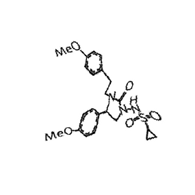 COc1ccc(CCN2C(=O)N(NS(=O)(=O)C3CC3)CC2c2ccc(OC)cc2)cc1